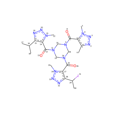 Cc1nnn(C)c1C(=O)N1CN(C(=O)c2c(C(C)C)nnn2C)CN(C(=O)c2c(C(C)I)nnn2C)C1